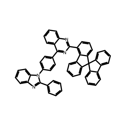 c1ccc(-c2nc3ccccc3n2-c2ccc(-c3nc(-c4cccc5c4-c4ccccc4C54c5ccccc5-c5ccccc54)nc4ccccc34)cc2)cc1